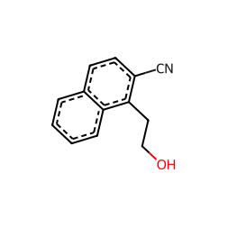 N#Cc1ccc2ccccc2c1CCO